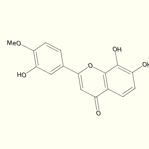 COc1ccc(-c2cc(=O)c3ccc(O)c(O)c3o2)cc1O